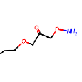 CCCOCC(=O)CON